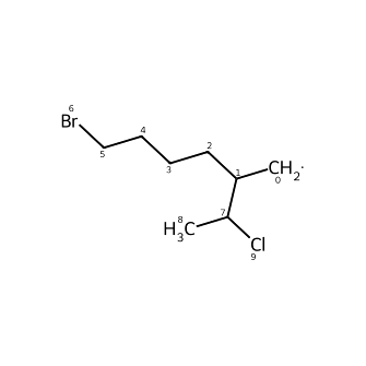 [CH2]C(CCCCBr)C(C)Cl